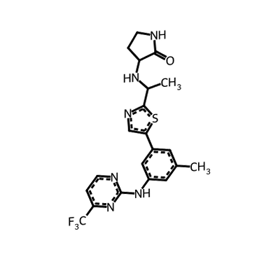 Cc1cc(Nc2nccc(C(F)(F)F)n2)cc(-c2cnc(C(C)NC3CCNC3=O)s2)c1